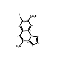 Nc1nc2cc(F)c(C(=O)O)cc2n2cccc12